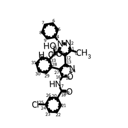 Cc1nn(-c2ccccc2)c(C)c1-c1noc(NC(=O)c2cccc(Cl)c2)c1-c1ccccc1C(=O)O